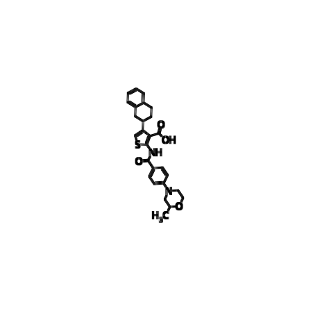 CC1CN(c2ccc(C(=O)Nc3scc(C4CCc5ccccc5C4)c3C(=O)O)cc2)CCO1